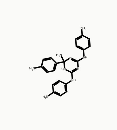 Nc1ccc(NC2=NC(N)(c3ccc(N)cc3)NC(Nc3ccc(N)cc3)=N2)cc1